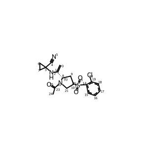 C=C(NC1(C#N)CC1)[C@@H]1C[C@@H](S(=O)(=O)c2ccccc2Cl)CN1C(C)=O